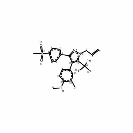 C=CCn1nc(-c2ccc(S(C)(=O)=O)cc2)c(-c2ccc(OC)c(C)c2)c1C(F)(F)F